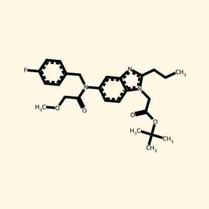 CCCc1nc2cc(N(Cc3ccc(F)cc3)C(=O)COC)ccc2n1CC(=O)OC(C)(C)C